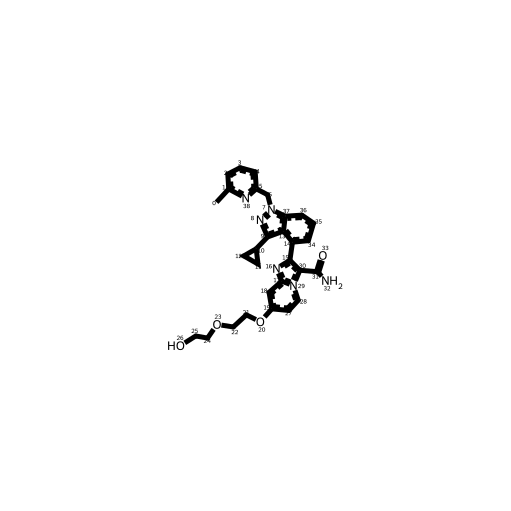 Cc1cccc(Cn2nc(C3CC3)c3c(-c4nc5cc(OCCOCCO)ccn5c4C(N)=O)cccc32)n1